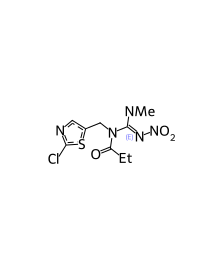 CCC(=O)N(Cc1cnc(Cl)s1)/C(=N/[N+](=O)[O-])NC